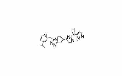 CC(C)c1ccnc(Cc2nnc3cc(-c4ccnc(Nc5ccnn5C)n4)ccn23)c1